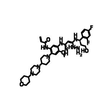 C=CC(=O)Nc1cc(NC(=N)/C=C(\NN)N[C@H](CCO)c2ccc(F)cc2F)c(OC)cc1N1CCC(N2CCN(C3CCOCC3)CC2)CC1